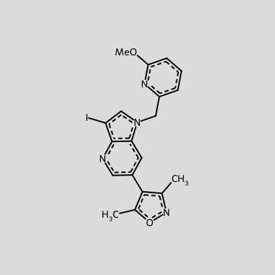 COc1cccc(Cn2cc(I)c3ncc(-c4c(C)noc4C)cc32)n1